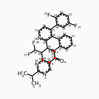 CC(C)c1ncc(C(=O)Nc2ccccc2-c2c(-c3cc(F)ccc3F)ccnc2C2CCOCC2C(F)F)cn1